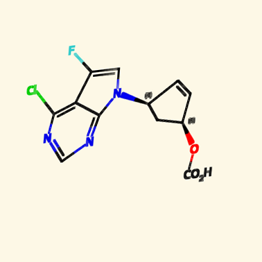 O=C(O)O[C@@H]1C=C[C@H](n2cc(F)c3c(Cl)ncnc32)C1